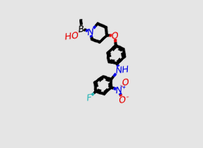 CB(O)N1CCC(Oc2ccc(Nc3ccc(F)cc3[N+](=O)[O-])cc2)CC1